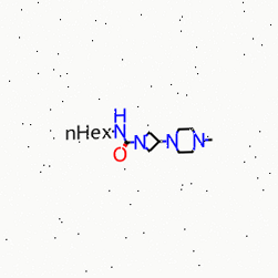 CCCCCCNC(=O)N1CC(N2CCN(C)CC2)C1